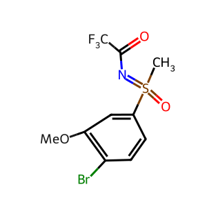 COc1cc(S(C)(=O)=NC(=O)C(F)(F)F)ccc1Br